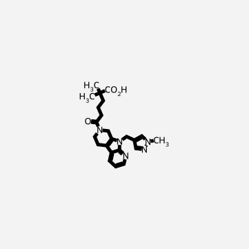 Cn1cc(Cn2c3c(c4cccnc42)CCN(C(=O)CCCC(C)(C)C(=O)O)C3)cn1